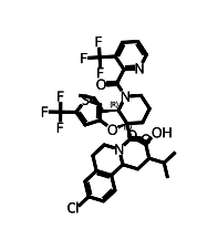 CCC[C@H]1N(C(=O)c2ncccc2C(F)(F)F)CCC[C@]1(Oc1csc(C(F)(F)F)c1)C(=O)N1CCc2cc(Cl)ccc2C1CC(C(=O)O)C(C)C